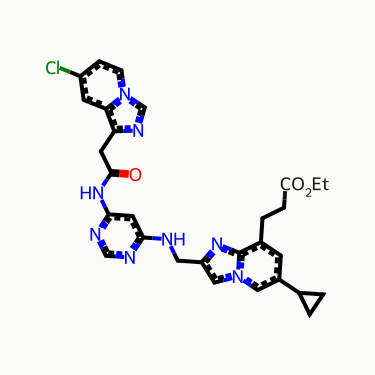 CCOC(=O)CCc1cc(C2CC2)cn2cc(CNc3cc(NC(=O)Cc4ncn5ccc(Cl)cc45)ncn3)nc12